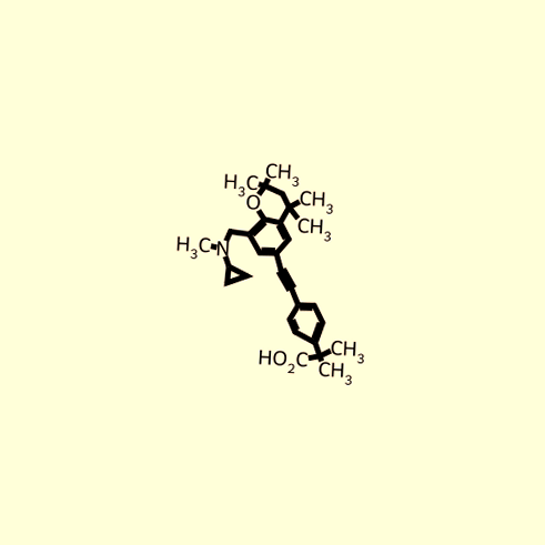 CN(Cc1cc(C#Cc2ccc(C(C)(C)C(=O)O)cc2)cc2c1OC(C)(C)CC2(C)C)C1CC1